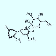 Cc1cc(-c2cc(Cl)ccc2C)ccc1O[C@H]1O[C@H](CO)[C@@H](O)[C@H](O)[C@]1(C)O